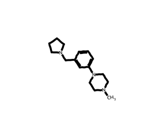 CN1CCN(c2cccc(CN3CCCC3)c2)CC1